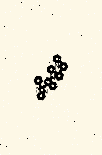 c1ccc(-c2nc3ccccc3nc2-c2ccc(-n3c4cccc5c6cccc7c8ccccc8n(c8cccc3c8c54)c67)c3ccccc23)cc1